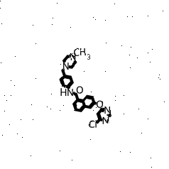 CN1CCN(Cc2ccc(NC(=O)c3cccc4cc(Oc5cc(Cl)ncn5)ccc34)cc2)CC1